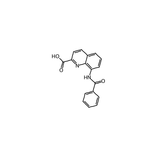 O=C(Nc1cccc2ccc(C(=O)O)nc12)c1ccccc1